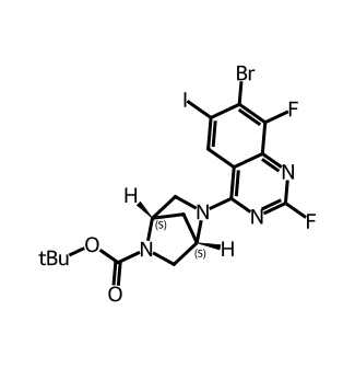 CC(C)(C)OC(=O)N1C[C@@H]2C[C@H]1CN2c1nc(F)nc2c(F)c(Br)c(I)cc12